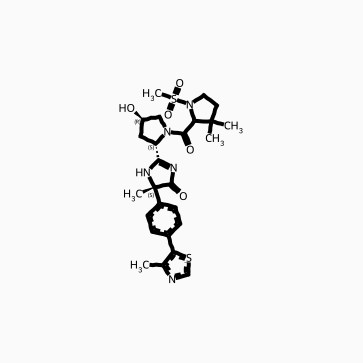 Cc1ncsc1-c1ccc([C@]2(C)NC([C@@H]3C[C@@H](O)CN3C(=O)C3N(S(C)(=O)=O)CCC3(C)C)=NC2=O)cc1